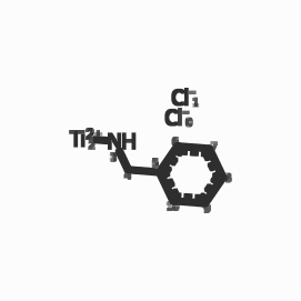 [Cl-].[Cl-].[Ti+2][NH]Cc1ccccc1